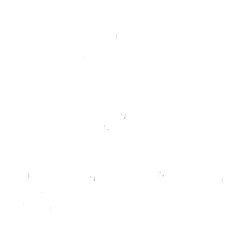 C[C@@H](CO)NC(=O)c1cc(-c2ccc(C(F)(F)F)cn2)nn(-c2ccc(F)c(F)c2)c1=O